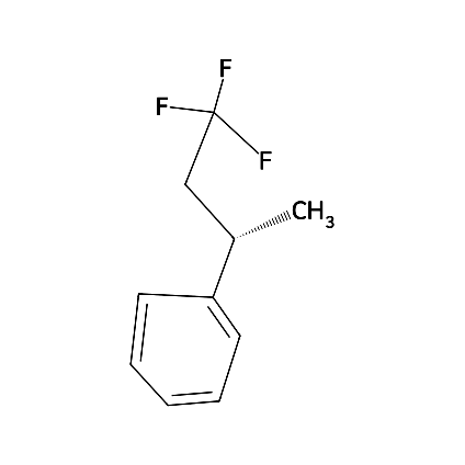 C[C@@H](CC(F)(F)F)c1ccccc1